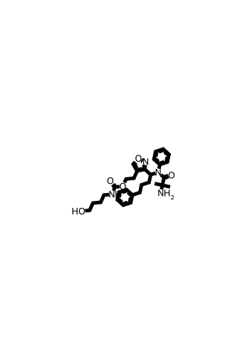 CC(C)(N)C(=O)N(c1ccccc1)C(CCCc1ccccc1)c1nocc1CCOC(=O)NCCCCO